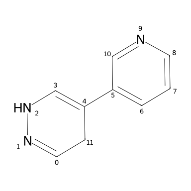 C1=NNC=C(c2cccnc2)C1